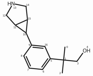 CC(C)(CO)c1cccc(C2C3CNCC32)c1